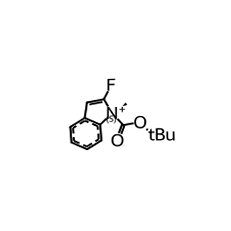 CC(C)(C)OC(=O)[N@@+]1(C)C(F)=Cc2ccccc21